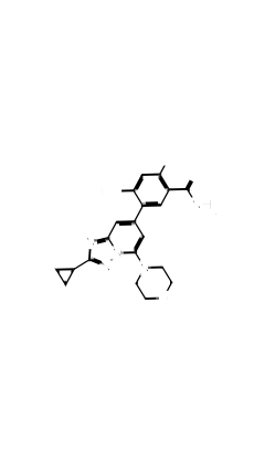 Cc1cc(F)c(C(N)=O)cc1-c1cc(N2CCOCC2)n2nc(C3CC3)nc2c1